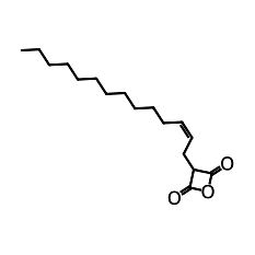 CCCCCCCCCCC/C=C\CC1C(=O)OC1=O